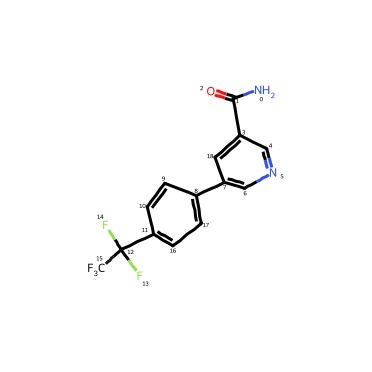 NC(=O)c1cncc(-c2ccc(C(F)(F)C(F)(F)F)cc2)c1